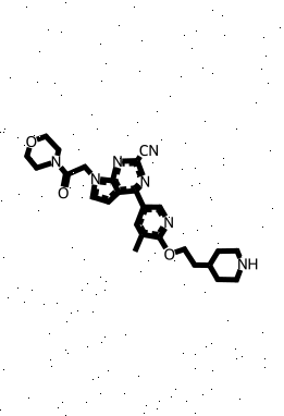 Cc1cc(-c2nc(C#N)nc3c2ccn3CC(=O)N2CCOCC2)cnc1OCCC1CCNCC1